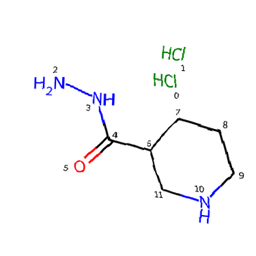 Cl.Cl.NNC(=O)C1CCCNC1